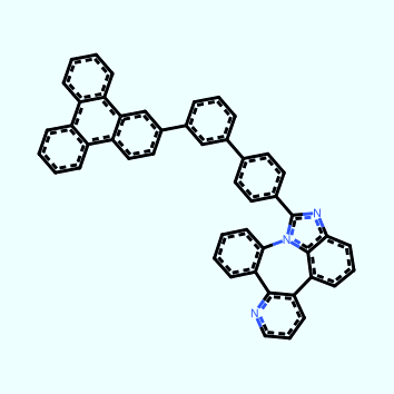 c1cc(-c2ccc(-c3nc4cccc5c4n3-c3ccccc3-c3ncccc3-5)cc2)cc(-c2ccc3c4ccccc4c4ccccc4c3c2)c1